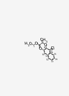 CCOC(=O)C(C)Oc1ccc2ccccc2c1Cl